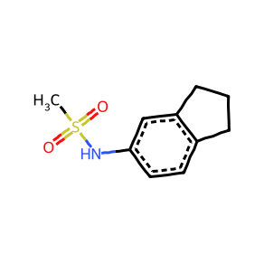 CS(=O)(=O)Nc1ccc2c(c1)CCC2